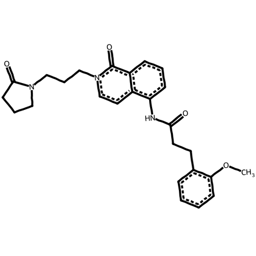 COc1ccccc1CCC(=O)Nc1cccc2c(=O)n(CCCN3CCCC3=O)ccc12